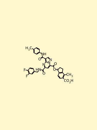 Cc1ccc(NC(=O)c2cnn3c(C(=O)O[C@H]4CCc5c4ccc(C(=O)O)c5C)cc(C(=O)NCc4ccc(F)c(F)c4)nc23)cc1